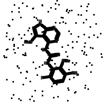 COc1c(N)ccc(F)c1NC(=O)Nc1ncnc2[nH]nc(OC)c12